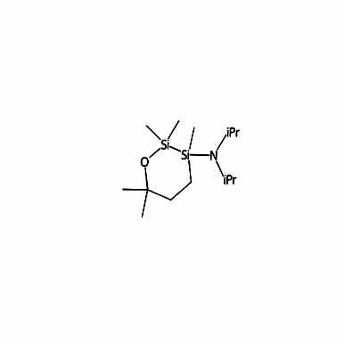 CC(C)N(C(C)C)[Si]1(C)CCC(C)(C)O[Si]1(C)C